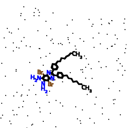 CCCCCCCCc1ccc(-c2nc3c(Br)c(N)c(N)c(Br)c3nc2-c2ccc(CCCCCCCC)cc2)cc1